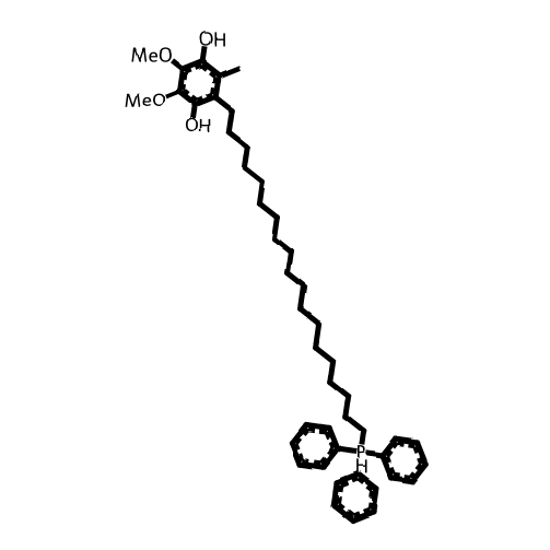 COc1c(O)c(C)c(CCCCCCCCCCCCCCCCCCC[PH](c2ccccc2)(c2ccccc2)c2ccccc2)c(O)c1OC